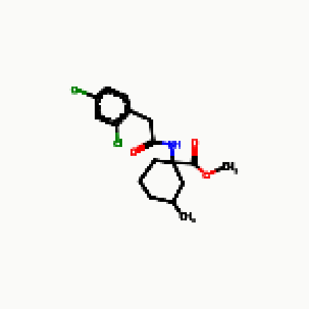 COC(=O)C1(NC(=O)Cc2ccc(Cl)cc2Cl)CCCC(C)C1